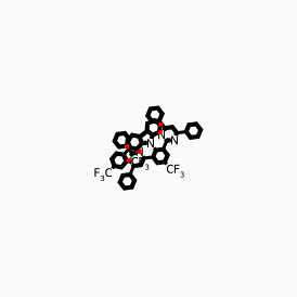 FC(F)(F)c1cc(-c2cc(-c3ccccc3)nc(-c3ccccc3)n2)c(-n2c3ccccc3c3ccc(-c4ccc(C(F)(F)F)cc4C(F)(F)F)cc32)c(-c2nc(-c3ccccc3)cc(-c3ccccc3)n2)c1